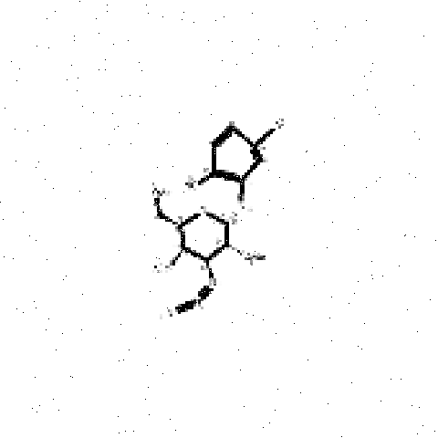 CO[C@@H]1[C@@H](N=[N+]=[N-])[C@@H](OC(C)=O)[C@@H](COC(C)=O)O[C@@H]1Sc1cc(Br)ccc1C#N